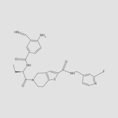 CC[C@@H](NC(=O)c1ccc(N)c(C=N)c1)C(=O)N1CCc2sc(C(=O)NCc3ccnc(F)c3)cc2C1